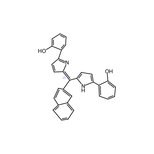 Oc1ccccc1C1=N/C(=C(/c2ccc3ccccc3c2)c2ccc(-c3ccccc3O)[nH]2)C=C1